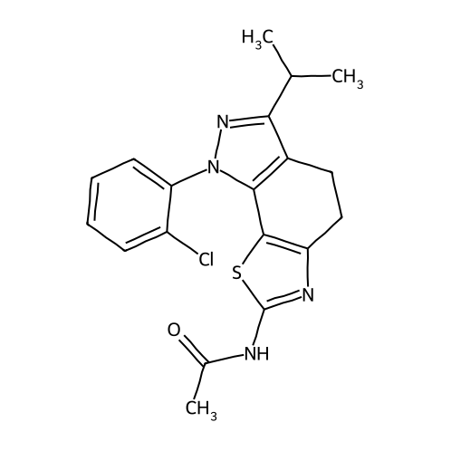 CC(=O)Nc1nc2c(s1)-c1c(c(C(C)C)nn1-c1ccccc1Cl)CC2